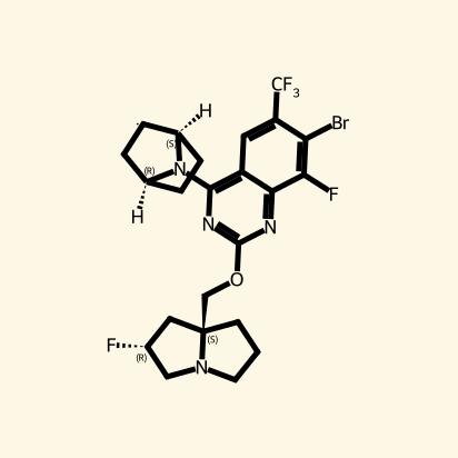 Fc1c(Br)c(C(F)(F)F)cc2c(N3[C@@H]4C[CH][C@H]3CC4)nc(OC[C@@]34CCCN3C[C@H](F)C4)nc12